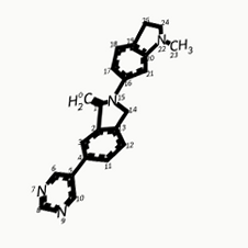 C=C1c2cc(-c3cncnc3)ccc2CN1c1ccc2c(c1)N(C)CC2